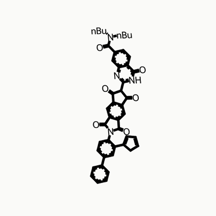 CCCCN(CCCC)C(=O)c1ccc2c(=O)[nH]c(C3C(=O)c4cc5c(cc4C3=O)C(=O)N(c3ccc(-c4ccccc4)cc3C3=CC=CC3)C5=O)nc2c1